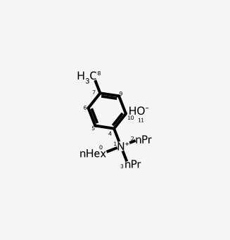 CCCCCC[N+](CCC)(CCC)c1ccc(C)cc1.[OH-]